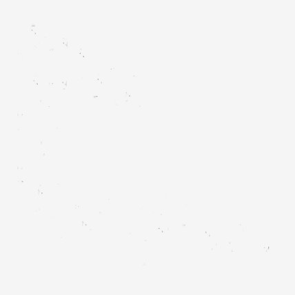 COC(=O)C(C)(C)CN1C(=O)CCC(N2C(=O)c3ccc(N4CCC(CN5CCC(c6ccc(Nc7nc(N8CCN(C)CC8)nnc7C(N)=O)cc6)CC5)C4)cc3C2=O)C1=O